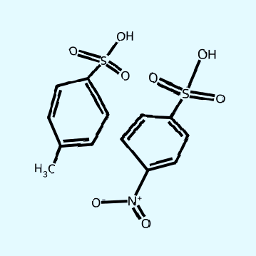 Cc1ccc(S(=O)(=O)O)cc1.O=[N+]([O-])c1ccc(S(=O)(=O)O)cc1